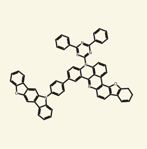 C1=Cc2c(oc3c2ccc2nc4c5c(cccc5c23)N(c2nc(-c3ccccc3)nc(-c3ccccc3)n2)c2ccc(-c3ccc(-n5c6ccccc6c6cc7oc8ccccc8c7cc65)cc3)cc2-4)CC1